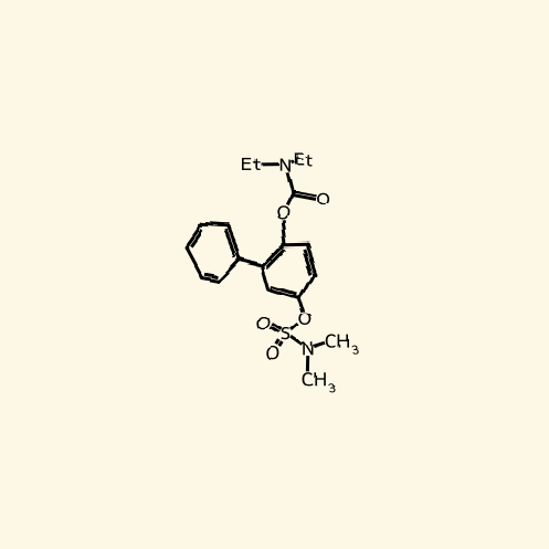 CCN(CC)C(=O)Oc1ccc(OS(=O)(=O)N(C)C)cc1-c1ccccc1